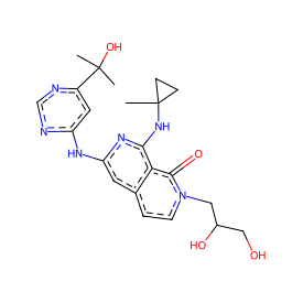 CC1(Nc2nc(Nc3cc(C(C)(C)O)ncn3)cc3ccn(CC(O)CO)c(=O)c23)CC1